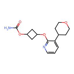 NC(=O)OC1CC(Oc2ncccc2C2CCOCC2)C1